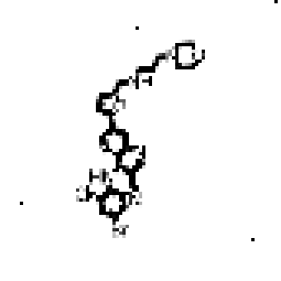 Cc1cc(Br)cc(Cl)c1Nc1c(C#N)cnc2cc(-c3ccc(CNCCCN4CCOCC4)o3)ccc12